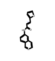 O=C(/C=C/c1ccco1)Nc1ccc2cnccc2c1